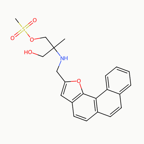 CC(CO)(COS(C)(=O)=O)NCc1cc2ccc3ccc4ccccc4c3c2o1